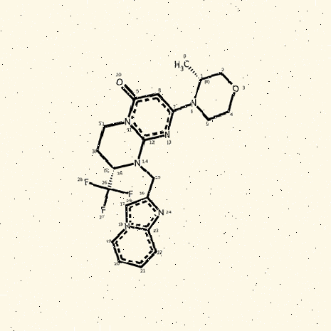 C[C@@H]1COCCN1c1cc(=O)n2c(n1)N(Cc1cn3ccccc3n1)[C@H](C(F)(F)F)CC2